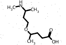 CNC(C)CCOC(C)CCC(=O)O